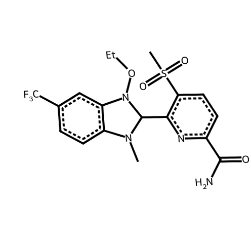 CCON1c2cc(C(F)(F)F)ccc2N(C)C1c1nc(C(N)=O)ccc1S(C)(=O)=O